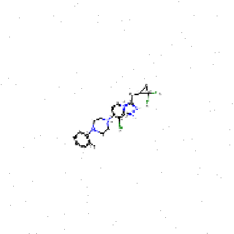 Cc1ccccc1N1CCN(c2ccn3c(CC4CC4(F)F)nnc3c2Br)CC1